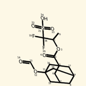 CC(OC(=O)C12CC3CC(CC(OC=O)(C3)C1)C2)C(F)(F)S(=O)(=O)O